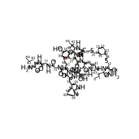 CCCC(=O)N[C@@H](CSCc1cccc(CSCCC(=O)NC(C(=O)N[C@@H](Cc2ccc(O)cc2)C(=O)N[C@@H](Cc2cnc[nH]2)C(=O)N[C@H](C(=O)N[C@@H](Cc2c[nH]c3ncccc23)C(=O)N[C@@H](CCC)C(=O)NCC(=O)NCC(=O)N[C@@H](CCC)C(N)=O)[C@@H](C)O)C(C)(C)C)c1)C(N)=O